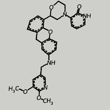 COc1cc(CNc2ccc3c(c2)Cc2cccc(C4CN(c5ccc[nH]c5=O)CCO4)c2O3)cnc1OC